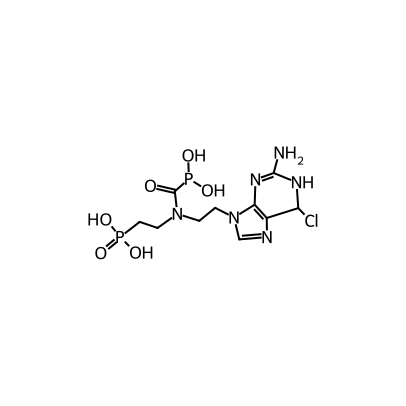 NC1=Nc2c(ncn2CCN(CCP(=O)(O)O)C(=O)P(O)O)C(Cl)N1